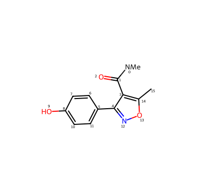 CNC(=O)c1c(-c2ccc(O)cc2)noc1C